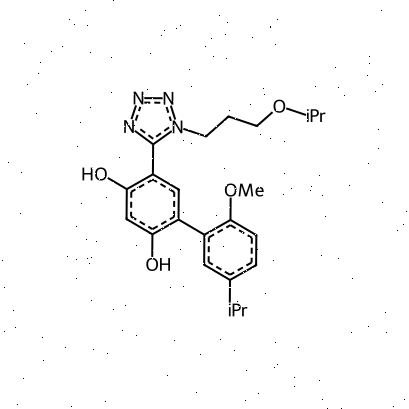 COc1ccc(C(C)C)cc1-c1cc(-c2nnnn2CCCOC(C)C)c(O)cc1O